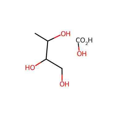 CC(O)C(O)CO.O=C(O)O